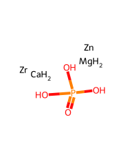 O=P(O)(O)O.[CaH2].[MgH2].[Zn].[Zr]